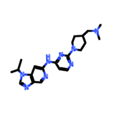 CC(C)n1cnc2cnc(Nc3ccnc(N4CCC(CN(C)C)CC4)n3)cc21